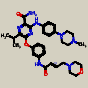 CC(C)c1nc(C(N)=O)c(Nc2ccc(N3CCN(C)CC3)cc2)nc1Oc1cccc(NC(=O)/C=C/CN2CCOCC2)c1